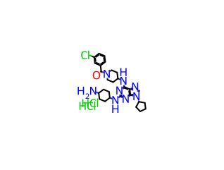 Cl.Cl.NC1CCC(Nc2nc(NC3CCN(C(=O)c4cccc(Cl)c4)CC3)c3ncn(C4CCCC4)c3n2)CC1